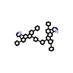 c1ccc(-c2ccc3c(c2)c(-c2ccc(-c4cccc(-c5cc6c7ccc(-c8ccccc8)c8c7c(cc6c6ccc(-c7ccccc7)cc56)-c5ncccc5-8)c4)cc2)cc2c4ccc(-c5ccccc5)c5c4c(cc32)-c2ncccc2-5)cc1